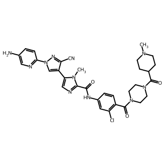 CN1CCC(C(=O)N2CCN(C(=O)c3ccc(NC(=O)c4ncc(-c5cn(-c6ccc(N)cn6)nc5C#N)n4C)cc3Cl)CC2)CC1